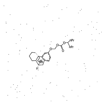 CCCC(CCC)OC(=O)OCOc1ccc2c(c1)[C@]13CCCC[C@@H]1[C@H](C2)NCC3